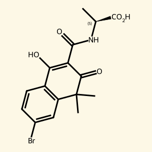 C[C@H](NC(=O)C1=C(O)c2ccc(Br)cc2C(C)(C)C1=O)C(=O)O